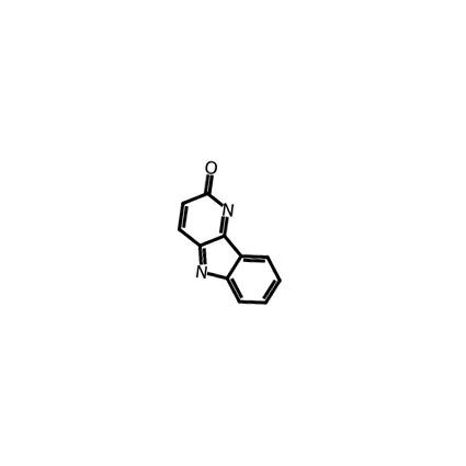 O=C1C=CC2=Nc3ccccc3C2=N1